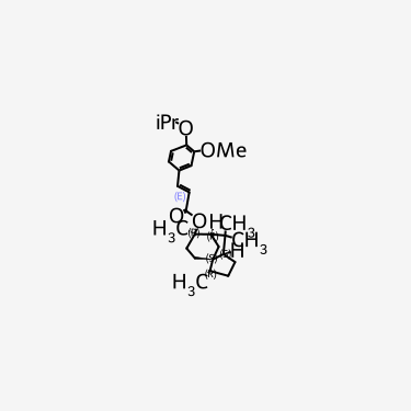 COc1cc(/C=C/C(=O)O[C@]2(C)CC[C@@]34C[C@@H]2C(C)(C)[C@@H]3CC[C@H]4C)ccc1OC(C)C